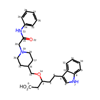 O=C(O)CC(CCc1c[nH]c2ccccc12)OCC1CCN(CC(=O)Nc2ccccc2)CC1